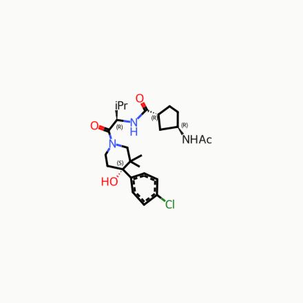 CC(=O)N[C@@H]1CC[C@@H](C(=O)N[C@@H](C(=O)N2CC[C@](O)(c3ccc(Cl)cc3)C(C)(C)C2)C(C)C)C1